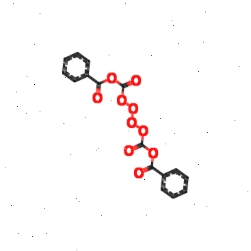 O=C(OOOOC(=O)OC(=O)c1ccccc1)OC(=O)c1ccccc1